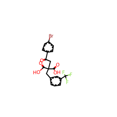 O=C(CC(Cc1cccc(C(F)(F)F)c1)(C(=O)O)C(=O)O)c1ccc(Br)cc1